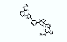 CC(C)(C)OC(=O)N1CCC[C@H]1c1ncc(-c2cccc(C34CCC5(c6cnc([C@@H]7CCCN7C(=O)OC(C)(C)C)[nH]6)CCC35C4)c2)[nH]1